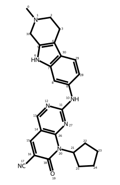 CN1CCc2c([nH]c3cc(Nc4ncc5cc(C#N)c(=O)n(C6CCCC6)c5n4)ccc23)C1